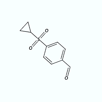 O=Cc1ccc(S(=O)(=O)C2CC2)cc1